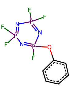 FP1(F)=NP(F)(F)=NP(F)(Oc2ccccc2)=N1